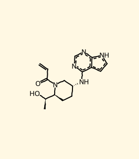 C=CC(=O)N1C[C@H](Nc2ncnc3[nH]ccc23)CC[C@H]1[C@@H](C)O